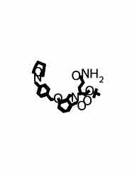 CC(C)(C)OC(=O)C(CCC(N)=O)N1Cc2c(OCc3ccc(CN4CC5CCC(C4)O5)cc3)cccc2C1=O